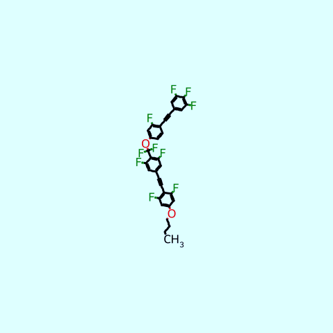 CCCCOc1cc(F)c(C#Cc2cc(F)c(C(F)(F)Oc3ccc(C#Cc4cc(F)c(F)c(F)c4)c(F)c3)c(F)c2)c(F)c1